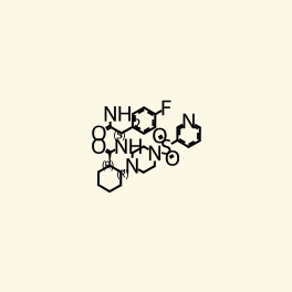 NC(=O)[C@@H](NC(=O)[C@@H]1CCCC[C@H]1N1CCN(S(=O)(=O)c2cccnc2)CC1)c1ccc(F)cc1